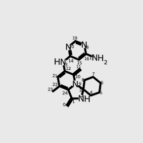 C=C1NC2(CCCCC2)N2C(=C)C(Nc3cc(N)ncn3)=CC(C)=C12